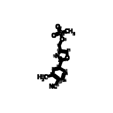 Cc1cc(-c2nc(COS(C)(=O)=O)co2)ncc1C#N